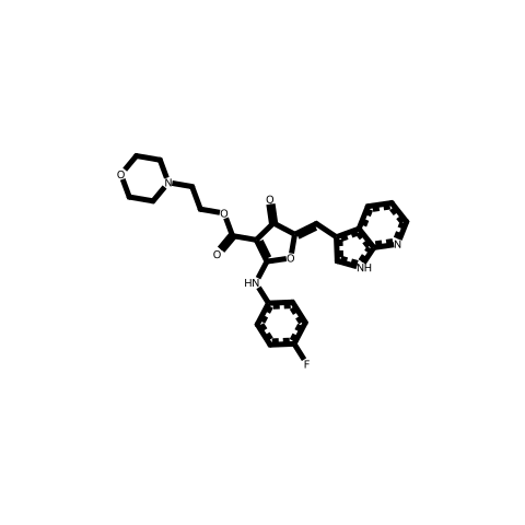 O=C(OCCN1CCOCC1)C1=C(Nc2ccc(F)cc2)O/C(=C\c2c[nH]c3ncccc23)C1=O